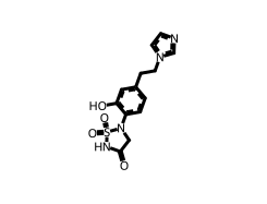 O=C1CN(c2ccc(CCn3ccnc3)cc2O)S(=O)(=O)N1